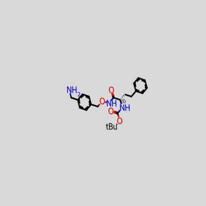 CC(C)(C)OC(=O)N[C@@H](CCc1ccccc1)C(=O)NOCc1ccc(CN)cc1